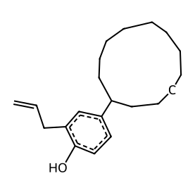 C=CCc1cc(C2CCCCCCCCCCC2)ccc1O